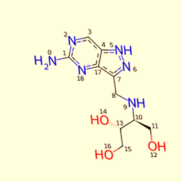 Nc1ncc2[nH]nc(CN[C@@H](CO)[C@@H](O)CO)c2n1